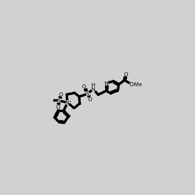 COC(=O)c1ccc(CNS(=O)(=O)C2CC[N+](c3ccccc3)(S(C)(=O)=O)CC2)nc1